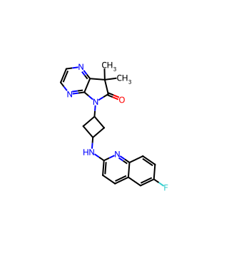 CC1(C)C(=O)N(C2CC(Nc3ccc4cc(F)ccc4n3)C2)c2nccnc21